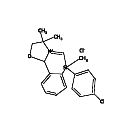 CC1(C)COC2c3ccccc3[Si](C)(c3ccc(Cl)cc3)C=[N+]21.[Cl-]